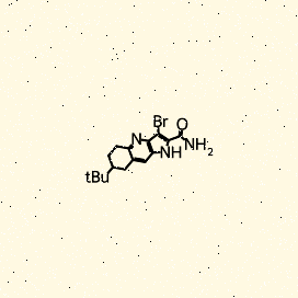 CC(C)(C)C1CCc2nc3c(Br)c(C(N)=O)[nH]c3cc2C1